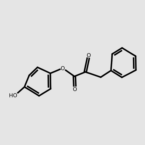 O=C(Cc1ccccc1)C(=O)Oc1ccc(O)cc1